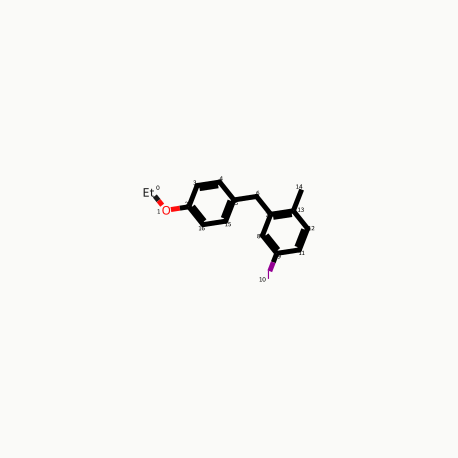 CCOc1ccc(Cc2cc(I)ccc2C)cc1